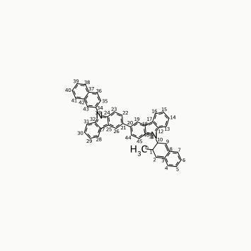 CC1C=c2ccccc2=CC1n1c2ccccc2c2cc(-c3ccc4c(c3)c3ccccc3n4-c3ccc4ccccc4c3)ccc21